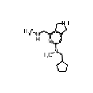 CNCc1nc(N(C)CC2CCCC2)cc2c1CNC2